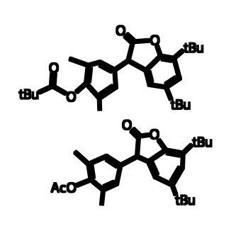 CC(=O)Oc1c(C)cc(C2C(=O)Oc3c2cc(C(C)(C)C)cc3C(C)(C)C)cc1C.Cc1cc(C2C(=O)Oc3c2cc(C(C)(C)C)cc3C(C)(C)C)cc(C)c1OC(=O)C(C)(C)C